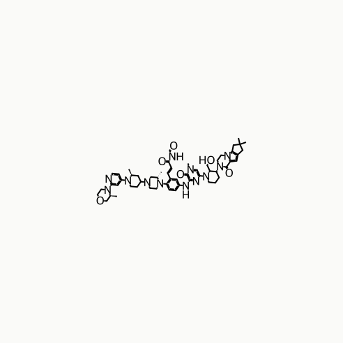 C[C@H]1CC(N2CCN(c3ccc(Nc4nc(N5CCCC(N6CCn7c(cc8c7CC(C)(C)C8)C6=O)C5CO)cn(C)c4=O)cc3C=CC(=O)NC=O)[C@@H](C)C2)CCN1c1ccnc(N2CCOC[C@@H]2C)c1